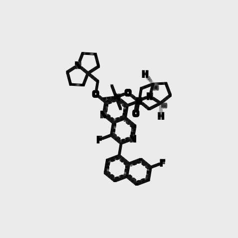 CC(C)(C)OC(=O)N1[C@@H]2CC[C@H]1CN(c1nc(OCC34CCCN3CCC4)nc3c(F)c(-c4cccc5ccc(F)cc45)ncc13)C2